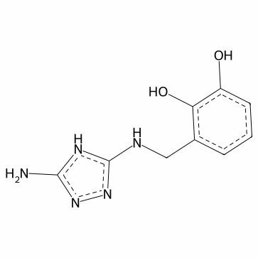 Nc1nnc(NCc2cccc(O)c2O)[nH]1